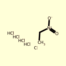 CC[N+](=O)[O-].Cl.Cl.Cl.Cl.[C]